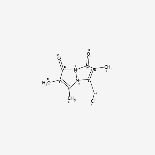 Cc1c(C)n2c(CCl)c(C)c(=O)n2c1=O